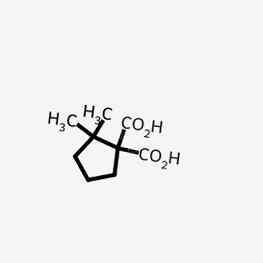 CC1(C)CCCC1(C(=O)O)C(=O)O